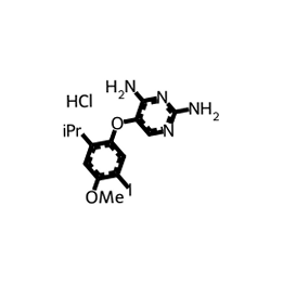 COc1cc(C(C)C)c(Oc2cnc(N)nc2N)cc1I.Cl